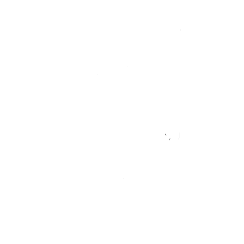 COc1cc(NC(=O)CCl)ccc1O